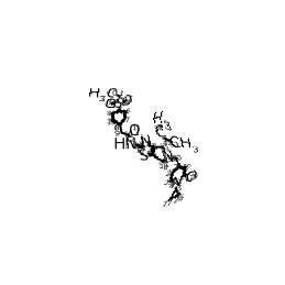 CCS(=O)(=O)c1ccc(CC(=O)Nc2nc3c(s2)CN(Cc2ccn(C4CC4)c(=O)c2)[C@H]3C(C)C)cc1